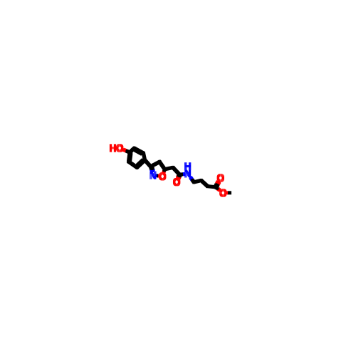 COC(=O)CCCNC(=O)CC1CC(c2ccc(O)cc2)=NO1